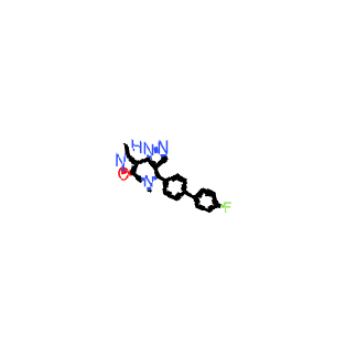 Cc1noc(C)c1-c1[nH]ncc1C(c1ccc(-c2ccc(F)cc2)cc1)N(C)C